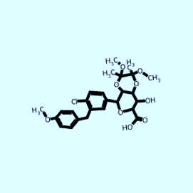 COc1ccc(Cc2cc(C3OC(C(=O)O)C(O)C4OC(C)(OC)C(C)(OC)OC34)ccc2Cl)cc1